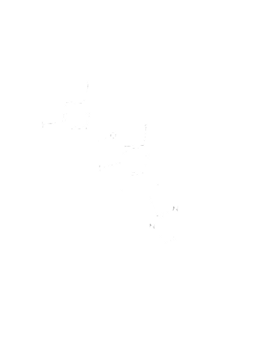 Cc1cnc(CCc2cc(F)c(OCc3cc(F)c(C)c(F)c3)c(F)c2C)nc1